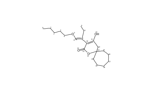 CCCCCON=C(CC)C1=C(O)CC2(CCCCCC2)OC1=O